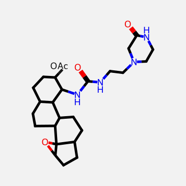 CC(=O)OC1CCC2CCC3C(CCC4CCC5OC453)C2C1NC(=O)NCCN1CCNC(=O)C1